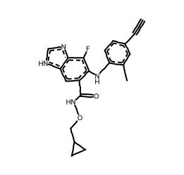 C#Cc1ccc(Nc2c(C(=O)NOCC3CC3)cc3[nH]cnc3c2F)c(C)c1